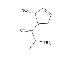 CC(N)C(=O)N1CC=C[C@H]1C#N